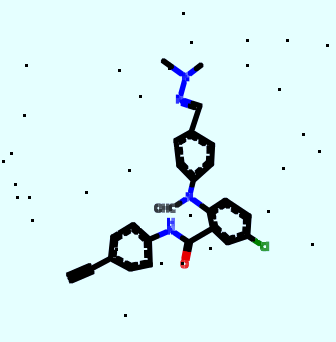 C#Cc1ccc(NC(=O)c2cc(Cl)ccc2N(C=O)c2ccc(C=NN(C)C)cc2)cc1